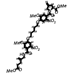 C=C(CCC(=O)OC)CNC(=O)c1cc(OC)c(OCCCCCOc2cc([N+](=O)[O-])c(C(=O)N3CC(=C)C[C@H]3C(=O)OC)cc2OC)cc1[N+](=O)[O-]